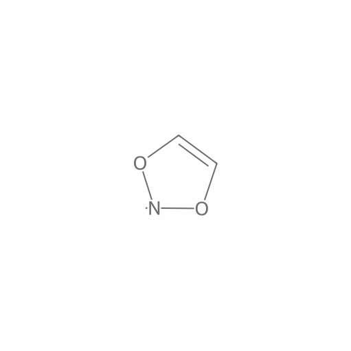 C1=CO[N]O1